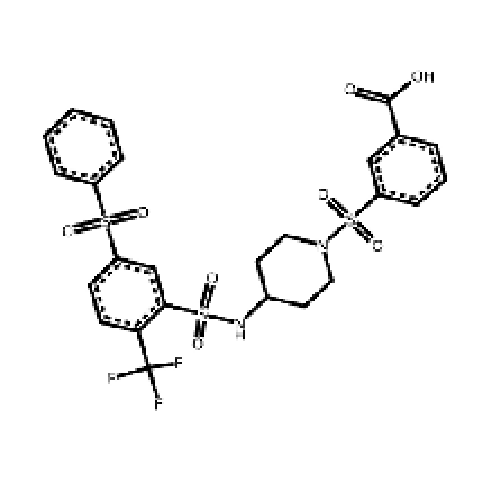 O=C(O)c1cccc(S(=O)(=O)N2CCC(NS(=O)(=O)c3cc(S(=O)(=O)c4ccccc4)ccc3C(F)(F)F)CC2)c1